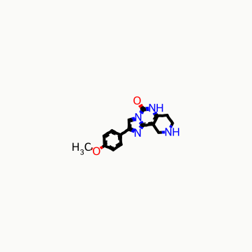 COc1ccc(-c2cn3c(=O)[nH]c4c(c3n2)CNCC4)cc1